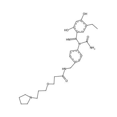 CCc1cc(C(=N)N(C(N)=O)c2ccc(CNC(=O)CCOCCCN3CCCC3)cc2)c(O)cc1O